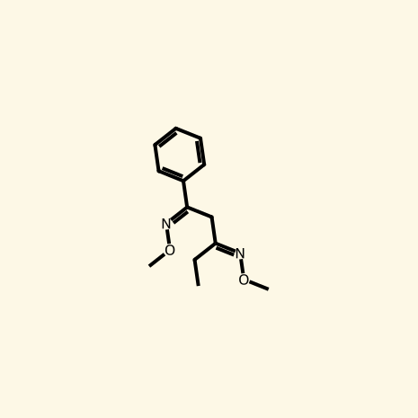 CC/C(C/C(=N\OC)c1ccccc1)=N\OC